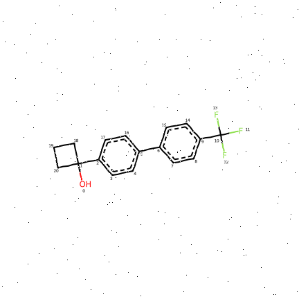 OC1(c2ccc(-c3ccc(C(F)(F)F)cc3)cc2)CCC1